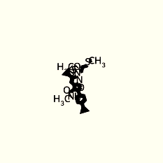 CNC(=O)c1c(-c2ccc(C3CC3)cc2)oc2nc(N(CCCSC)S(C)(=O)=O)c(C3CC3)cc12